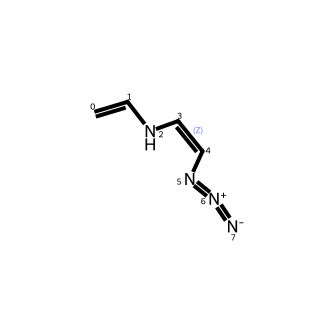 C=CN/C=C\N=[N+]=[N-]